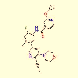 CC#Cc1ncc(-c2cc(NC(=O)c3ccnc(OC4CC4)c3)c(F)cc2C)cc1N1CCOCC1